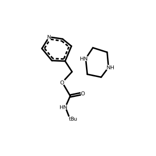 C1CNCCN1.CC(C)(C)NC(=O)OCc1ccncc1